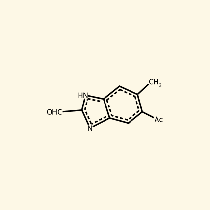 CC(=O)c1cc2nc(C=O)[nH]c2cc1C